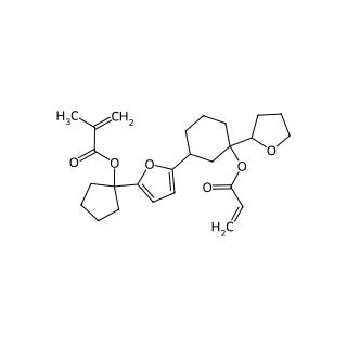 C=CC(=O)OC1(C2CCCO2)CCCC(c2ccc(C3(OC(=O)C(=C)C)CCCC3)o2)C1